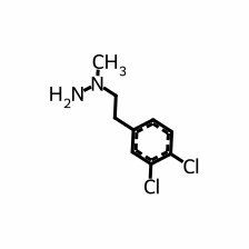 CN(N)CCc1ccc(Cl)c(Cl)c1